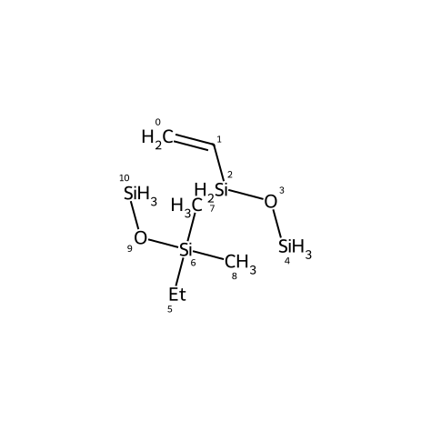 C=C[SiH2]O[SiH3].CC[Si](C)(C)O[SiH3]